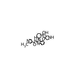 Cc1cc(C(=O)Nc2nc3cccc(OC4CCNCC4)c3n2[C@@H]2CCCCN(C(=O)O)C2)ccn1